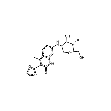 Cc1c(-c2ccco2)c(=O)[nH]c2cc(NC3COC(CO)[C@@H](O)C3O)ccc12